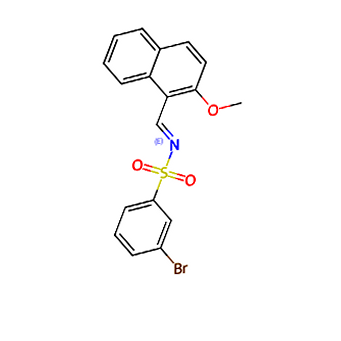 COc1ccc2ccccc2c1/C=N/S(=O)(=O)c1cccc(Br)c1